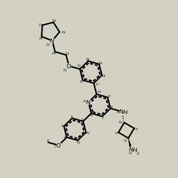 COc1ccc(-c2cc(N[C@H]3C[C@H](N)C3)cc(-c3cccc(OCCN4CCCC4)c3)n2)cc1